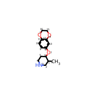 CC1CNCCC1Oc1ccc2c(c1)OCCO2